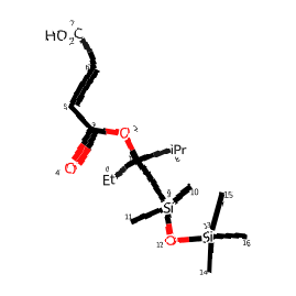 CCC(OC(=O)/C=C/C(=O)O)(C(C)C)[Si](C)(C)O[Si](C)(C)C